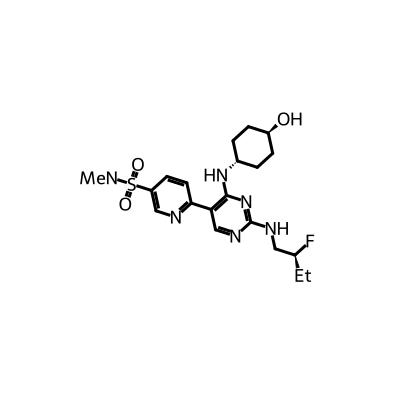 CC[C@H](F)CNc1ncc(-c2ccc(S(=O)(=O)NC)cn2)c(N[C@H]2CC[C@H](O)CC2)n1